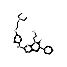 CCN(CC)CCOc1ccc(Nc2ncc3cc(-c4ccccc4)c(=O)n(CCO)c3n2)cc1